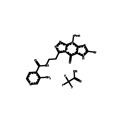 CCCCCn1c2nc(Br)[nH]c2c(=O)n2c(CCNC(=O)c3ccncc3N)nnc12.O=C(O)C(F)(F)F